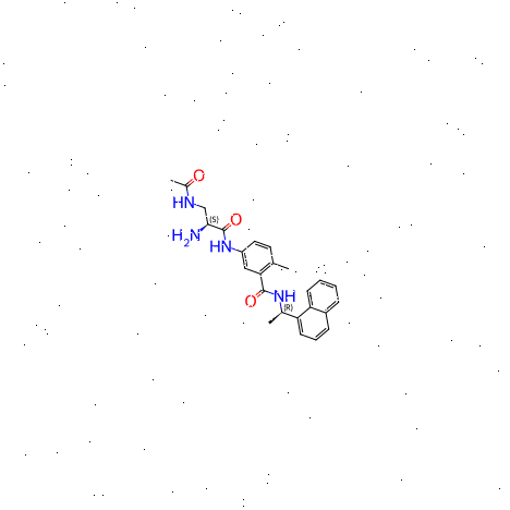 CC(=O)NC[C@H](N)C(=O)Nc1ccc(C)c(C(=O)N[C@H](C)c2cccc3ccccc23)c1